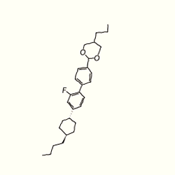 CCCC[C@H]1CC[C@H](c2ccc(-c3ccc(C4OCC(CCC)CO4)cc3)c(F)c2)CC1